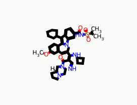 COc1ccc2c(c1)C=C(/C(NC1CCC1)=C(/C=N)C(=O)N1CCN3CCC[C@H]3C1)Cn1c-2c(C2CCCCC2)c2ccc(C(=O)NS(=O)(=O)C(C)C)cc21